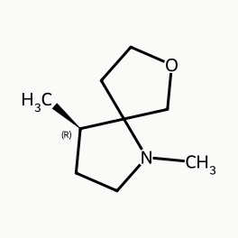 C[C@@H]1CCN(C)C12CCOC2